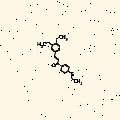 CCSc1ccc(C(=O)C=Cc2ccc(CC)c(CC)c2)cc1